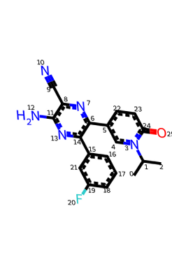 CC(C)n1cc(-c2nc(C#N)c(N)nc2-c2cccc(F)c2)ccc1=O